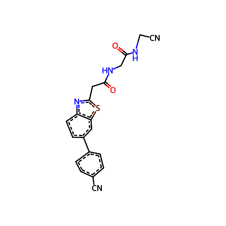 N#CCNC(=O)CNC(=O)Cc1nc2ccc(-c3ccc(C#N)cc3)cc2s1